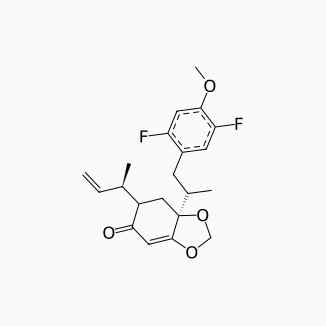 C=C[C@@H](C)C1C[C@@]2(C(C)Cc3cc(F)c(OC)cc3F)OCOC2=CC1=O